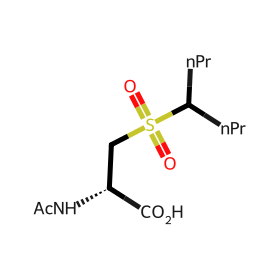 CCCC(CCC)S(=O)(=O)C[C@@H](NC(C)=O)C(=O)O